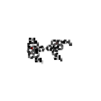 Cc1ccc([Si](c2ccccc2)(c2ccc(-c3ccc([Si](c4ccccc4)(c4cccc5c(C)cccc45)c4ccc(C)c5ccccc45)cc3)cc2)c2cccc3c(C)cccc23)cc1